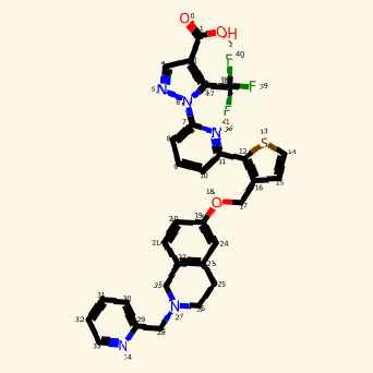 O=C(O)c1cnn(-c2cccc(-c3sccc3COc3ccc4c(c3)CCN(Cc3ccccn3)C4)n2)c1C(F)(F)F